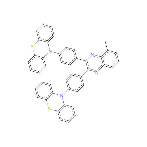 Cc1cccc2nc(-c3ccc(N4c5ccccc5Sc5ccccc54)cc3)c(-c3ccc(N4c5ccccc5Sc5ccccc54)cc3)nc12